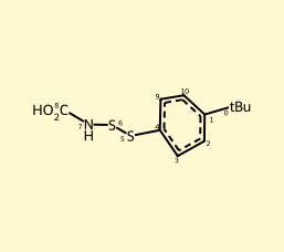 CC(C)(C)c1ccc(SSNC(=O)O)cc1